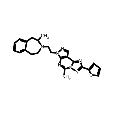 CC1Cc2ccccc2CCN1CCn1ncc2c1nc(N)n1nc(-c3ccco3)nc21